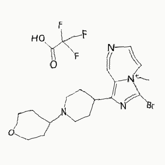 C[N+]12C=CN=CC1=C(C1CCN(C3CCOCC3)CC1)N=C2Br.O=C(O)C(F)(F)F